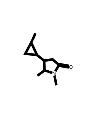 CC1CC1C1CC(=O)N(C)C1C